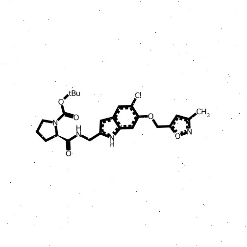 Cc1cc(COc2cc3[nH]c(CNC(=O)[C@H]4CCCN4C(=O)OC(C)(C)C)cc3cc2Cl)on1